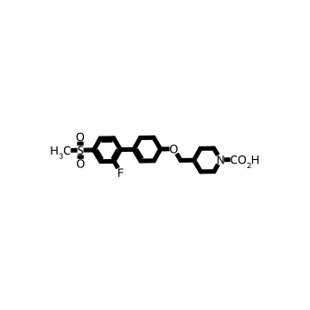 CS(=O)(=O)c1ccc(C2=CCC(OCC3CCN(C(=O)O)CC3)CC2)c(F)c1